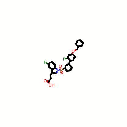 O=C(O)CCc1cn(S(=O)(=O)c2cccc(-c3ccc(OCc4ccccc4)cc3F)c2)c2ccc(F)cc12